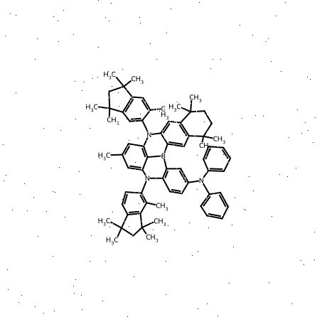 Cc1cc2c3c(c1)N(c1ccc4c(c1C)C(C)(C)CC4(C)C)c1ccc(N(c4ccccc4)c4ccccc4)cc1B3c1cc3c(cc1N2c1cc2c(cc1C)C(C)(C)CC2(C)C)C(C)(C)CCC3(C)C